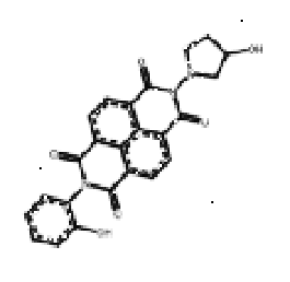 O=C1c2ccc3c4c(ccc(c24)C(=O)N1c1ccccc1O)C(=O)N(N1CCC(O)C1)C3=O